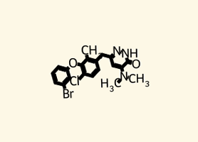 Cc1c(Cc2cc(N(C)C)c(=O)[nH]n2)ccc(Cl)c1Oc1cccc(Br)c1